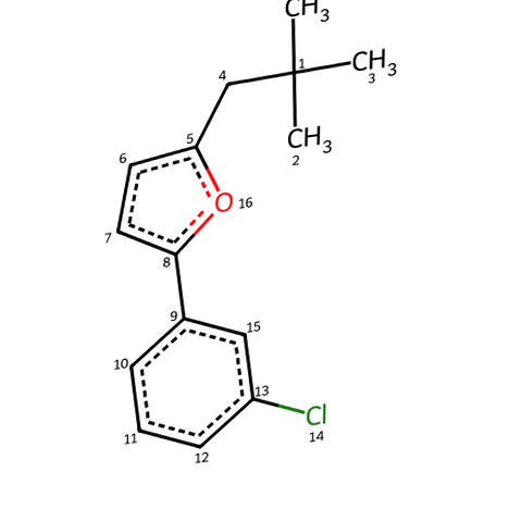 CC(C)(C)Cc1ccc(-c2cccc(Cl)c2)o1